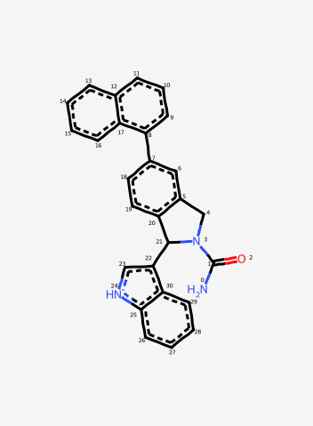 NC(=O)N1Cc2cc(-c3cccc4ccccc34)ccc2C1c1c[nH]c2ccccc12